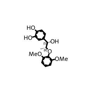 COc1cccc(OC)c1O[C@H](C)[C@@H](O)c1ccc(O)c(O)c1